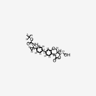 CC(C)(C)OC(=O)NC1(c2ccc(-c3ccc4c(c3)OC[C@H]3[C@H](CO)OC(=O)N43)cn2)CC1